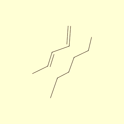 C=CC=CC.CCCCCC